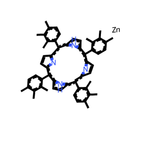 Cc1ccc(-c2c3nc(c(-c4ccc(C)c(C)c4C)c4ccc([nH]4)c(-c4ccc(C)c(C)c4C)c4nc(c(-c5ccc(C)c(C)c5C)c5ccc2[nH]5)C=C4)C=C3)c(C)c1C.[Zn]